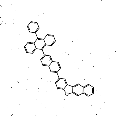 c1ccc(-c2c3ccccc3c(-c3ccc4cc(-c5ccc6oc7cc8ccccc8cc7c6c5)ccc4c3)c3ccccc23)cc1